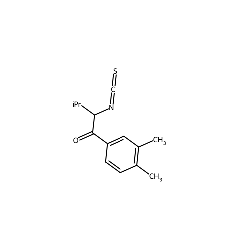 Cc1ccc(C(=O)C(N=C=S)C(C)C)cc1C